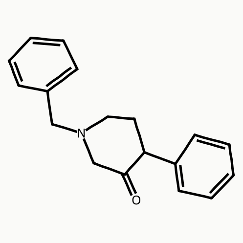 O=C1CN(Cc2ccccc2)CCC1c1ccccc1